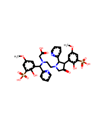 COc1cc(C2C(=O)CN(CCN(CC(=O)O)C(c3ccccn3)c3cc(OC)cc(S(=O)(=O)O)c3O)C2c2ccccn2)c(O)c(S(=O)(=O)O)c1